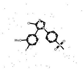 COc1cc(-c2c(Cl)ncn2-c2ccc(S(C)(=O)=O)cc2)ccc1F